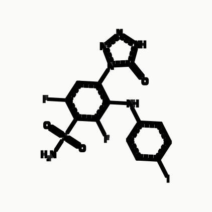 NS(=O)(=O)c1c(F)cc(-n2nn[nH]c2=O)c(Nc2ccc(I)cc2)c1F